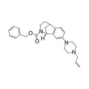 C=CCN1CCN(c2ccc3c(c2)[C@H]2CC3CCN2C(=O)OCc2ccccc2)CC1